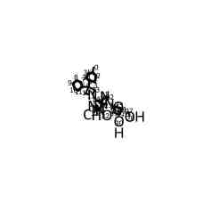 Cc1ccc(C2(c3ccccc3)CN(c3nc(Cl)nc4c3ncn4[C@@H]3O[C@H](CO)C(O)C3O)C2)cc1